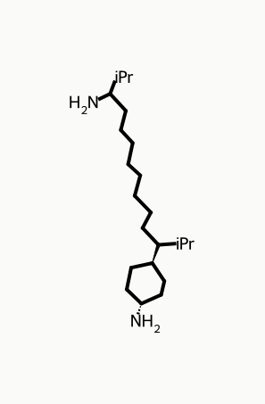 CC(C)C(N)CCCCCCCCC(C(C)C)[C@H]1CC[C@H](N)CC1